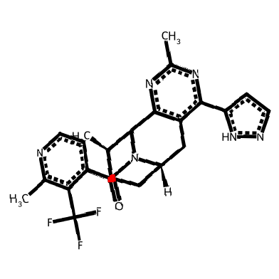 Cc1nc(-c2ccn[nH]2)c2c(n1)C1[C@H](C)CC[C@@H](C2)N1C(=O)c1ccnc(C)c1C(F)(F)F